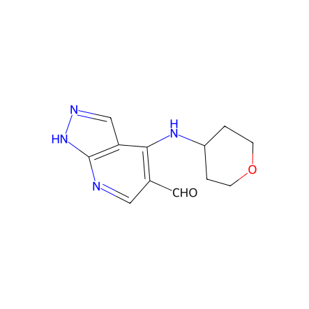 O=Cc1cnc2[nH]ncc2c1NC1CCOCC1